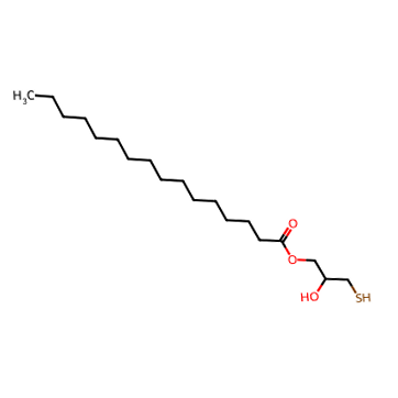 CCCCCCCCCCCCCCCC(=O)OCC(O)CS